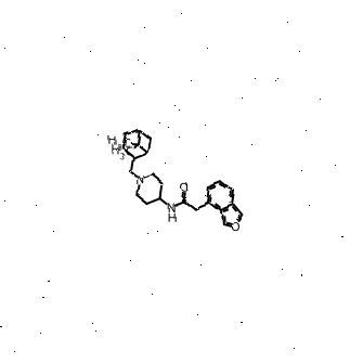 CC1(C)C2CCC(CN3CCC(NC(=O)Cc4cccc5cocc45)CC3)C1C2